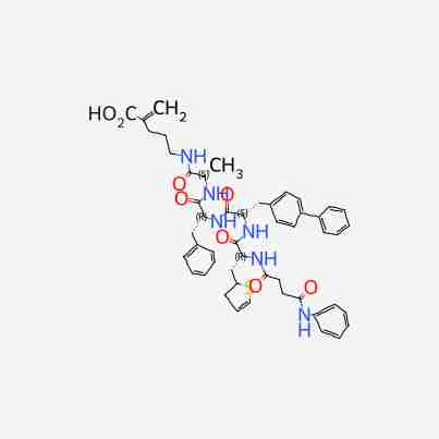 C=C(CCCNC(=O)[C@H](C)NC(=O)[C@@H](Cc1ccccc1)NC(=O)[C@H](Cc1ccc(-c2ccccc2)cc1)NC(=O)[C@@H](CC1CC=CS1)NC(=O)CCC(=O)Nc1ccccc1)C(=O)O